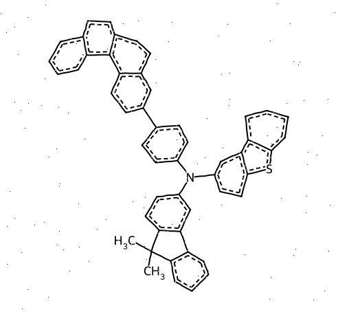 CC1(C)c2ccccc2-c2cc(N(c3ccc(-c4ccc5c(ccc6ccc7ccccc7c65)c4)cc3)c3ccc4sc5ccccc5c4c3)ccc21